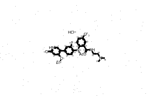 CCOc1cc(=O)[nH]cc1-c1ccc(N(C(C)=O)c2ccc(C(F)(F)F)cc2C(=O)NCCN(C)C)c(F)c1.Cl